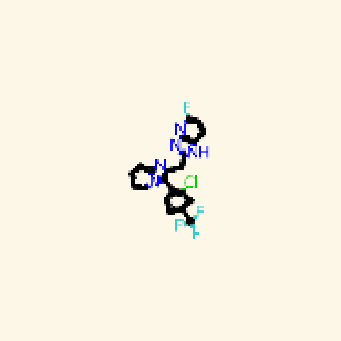 Fc1ccc2[nH]c(Cc3nc4ccccn4c3-c3ccc(C(F)(F)F)cc3Cl)nc2n1